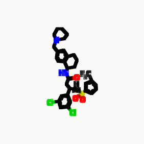 O=C(CC([AsH]S(=O)(=O)c1cccc(C(F)(F)F)c1)c1cc(Cl)cc(Cl)c1)NC1CCCc2cc(CN3CCCCC3)ccc21